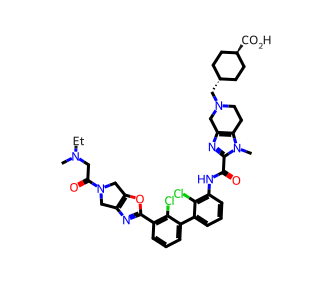 CCN(C)CC(=O)N1Cc2nc(-c3cccc(-c4cccc(NC(=O)c5nc6c(n5C)CCN(C[C@H]5CC[C@H](C(=O)O)CC5)C6)c4Cl)c3Cl)oc2C1